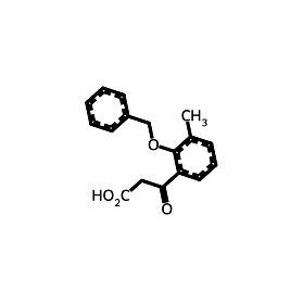 Cc1cccc(C(=O)CC(=O)O)c1OCc1ccccc1